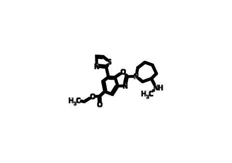 CCOC(=O)c1cc(-c2nccs2)c2oc(N3CCCCC(NC)C3)nc2c1